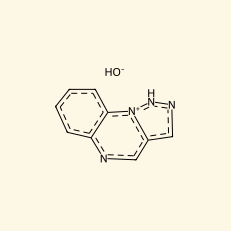 [OH-].c1ccc2c(c1)ncc1cn[nH][n+]12